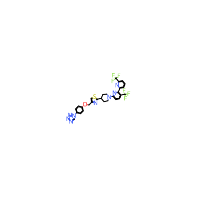 FC(F)(F)c1cccc(-c2nc(N3CCC(c4nc(COc5ccc(-n6cnnn6)cc5)cs4)CC3)ccc2C(F)(F)F)n1